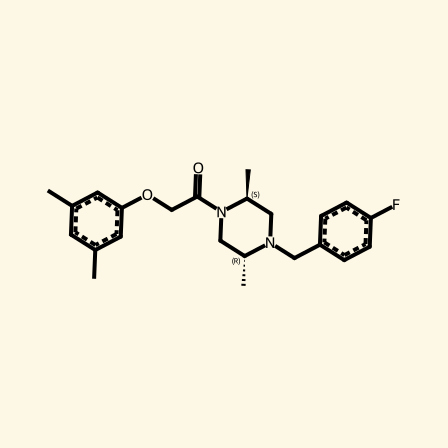 Cc1cc(C)cc(OCC(=O)N2C[C@@H](C)N(Cc3ccc(F)cc3)C[C@@H]2C)c1